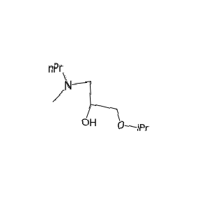 CCCN(C)CC(O)COC(C)C